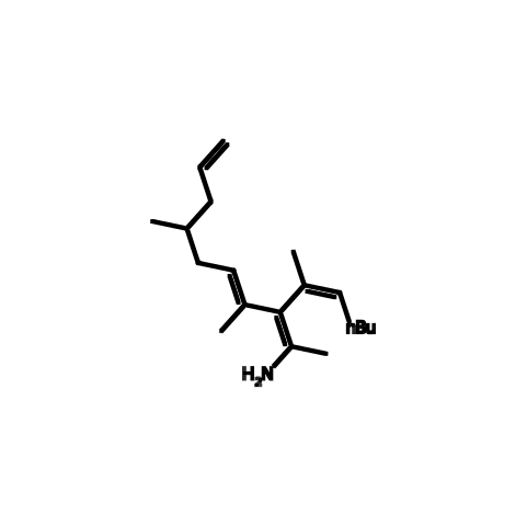 C=CCC(C)C/C=C(C)/C(C(/C)=C\CCCC)=C(/C)N